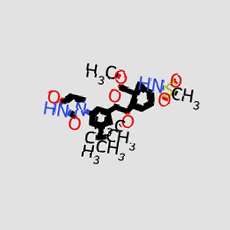 COC(=O)c1cc(NS(C)(=O)=O)ccc1C(Cc1cc(-n2ccc(=O)[nH]c2=O)cc(C(C)(C)C)c1)OC